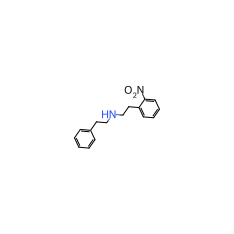 O=[N+]([O-])c1ccccc1CCNCCc1ccccc1